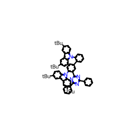 CC(C)(C)c1ccc2c(c1)c1cc(C(C)(C)C)ccc1n2-c1ccccc1-c1ccc(-n2c3ccc(C(C)(C)C)cc3c3cc(C(C)(C)C)ccc32)c(-c2nc(-c3ccccc3)nc(-c3ccccc3)n2)c1